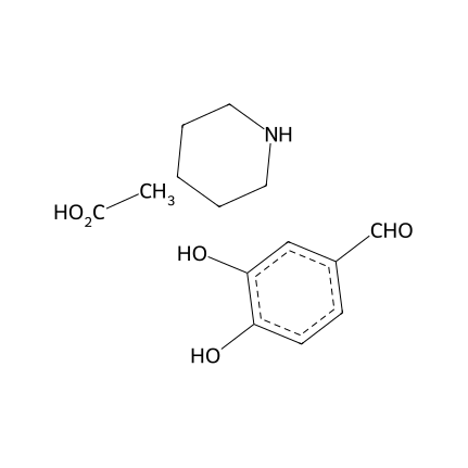 C1CCNCC1.CC(=O)O.O=Cc1ccc(O)c(O)c1